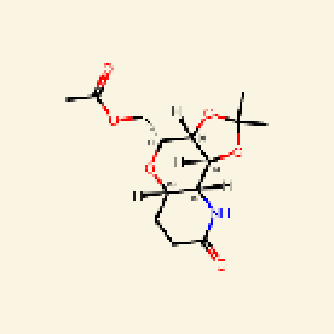 CC(=O)OC[C@H]1O[C@H]2CCC(=O)N[C@H]2[C@H]2OC(C)(C)O[C@H]21